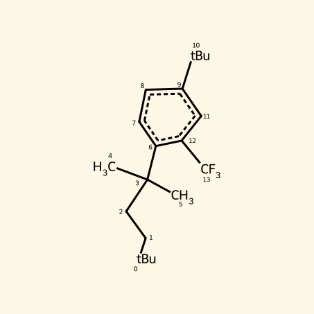 CC(C)(C)CCC(C)(C)c1ccc(C(C)(C)C)cc1C(F)(F)F